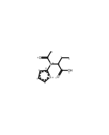 CCC(C(=O)O)N(C(C)=O)c1cccs1